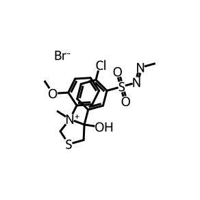 CN=NS(=O)(=O)c1cc(C2(O)CSC[N+]2(C)c2ccccc2OC)ccc1Cl.[Br-]